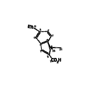 CCc1ccc2c(c1)cc(C(=O)O)n2C